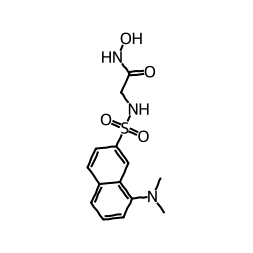 CN(C)c1cccc2ccc(S(=O)(=O)NCC(=O)NO)cc12